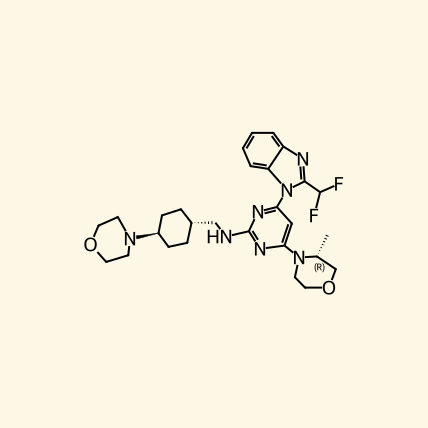 C[C@@H]1COCCN1c1cc(-n2c(C(F)F)nc3ccccc32)nc(NC[C@H]2CC[C@H](N3CCOCC3)CC2)n1